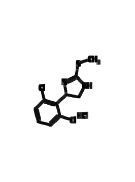 CSC1=NC(c2c(Cl)cccc2Cl)CN1.Cl